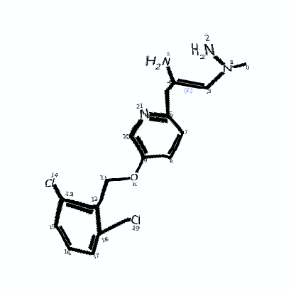 CN(N)/C=C(\N)c1ccc(OCc2c(Cl)cccc2Cl)cn1